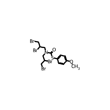 COc1ccc(SC(=O)N(CC(Br)CBr)CC(Br)CBr)cc1